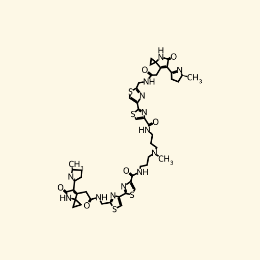 C[C@H]1CCC(C2=C(CC(=O)NCc3nc(-c4nc(C(=O)NCCCN(C)CCCNC(=O)c5csc(-c6csc(CNC(=O)CC7=C(C8=N[C@@H](C)CC8)C(=O)NC78CC8)n6)n5)cs4)cs3)C3(CC3)NC2=O)=N1